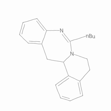 CCCCC1=Nc2ccccc2CC2c3ccccc3CCN12